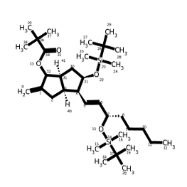 C=C1C[C@@H]2[C@H](/C=C/[C@H](CCCCC)O[Si](C)(C)C(C)(C)C)[C@H](O[Si](C)(C)C(C)(C)C)C[C@@H]2C1OC(=O)C(C)(C)C